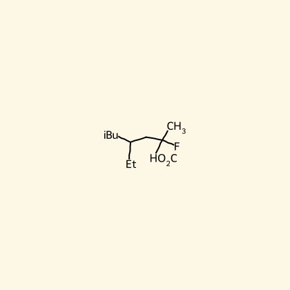 CCC(C)C(CC)CC(C)(F)C(=O)O